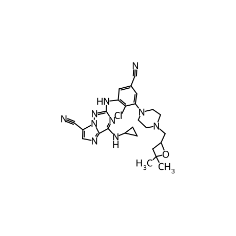 CC1(C)CC(CN2CCN(c3cc(C#N)cc(Nc4nc(NC5CC5)c5ncc(C#N)n5n4)c3Cl)CC2)O1